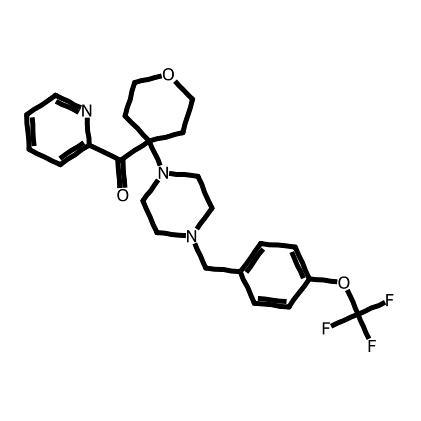 O=C(c1ccccn1)C1(N2CCN(Cc3ccc(OC(F)(F)F)cc3)CC2)CCOCC1